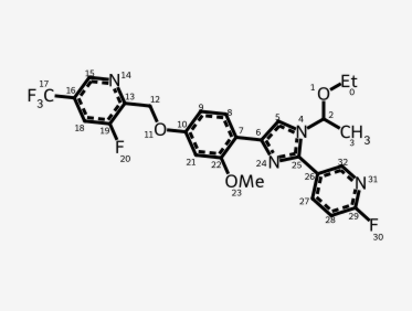 CCOC(C)n1cc(-c2ccc(OCc3ncc(C(F)(F)F)cc3F)cc2OC)nc1-c1ccc(F)nc1